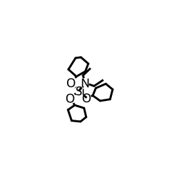 CCN(CC)[Si](OC1CCCCC1)(OC1CCCCC1)OC1CCCCC1